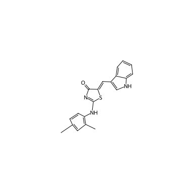 Cc1ccc(NC2=NC(=O)/C(=C/c3c[nH]c4ccccc34)S2)c(C)c1